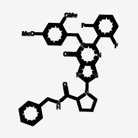 COc1ccc(Cn2c(-c3c(F)cccc3F)nc3sc(N4CCCC4C(=O)NCc4ccccc4)nc3c2=O)c(OC)c1